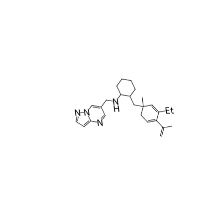 C=C(C)C1=CCC(C)(CC2CCCCC2NCc2cnc3ccnn3c2)C=C1CC